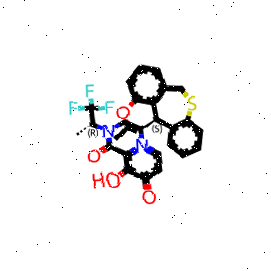 CC(C)Oc1cccc2c1[C@H](C1CN([C@H](C)C(F)(F)F)C(=O)c3c(O)c(=O)ccn31)c1ccccc1SC2